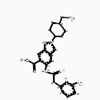 COC(=O)c1cc2nn(C3CCC(CO)CC3)cc2cc1NC(=O)Cc1cccc(C(F)(F)F)n1